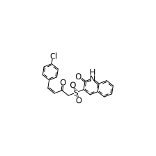 O=C(/C=C\c1ccc(Cl)cc1)CS(=O)(=O)c1cc2ccccc2[nH]c1=O